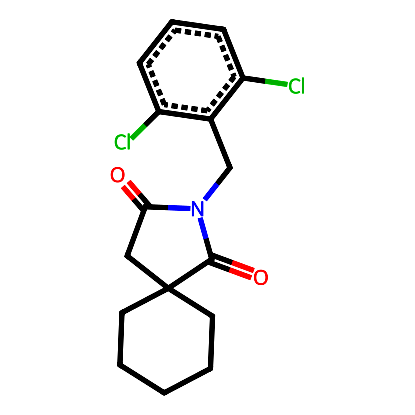 O=C1CC2(CCCCC2)C(=O)N1Cc1c(Cl)cccc1Cl